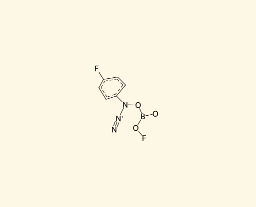 N#[N+]N(OB([O-])OF)c1ccc(F)cc1